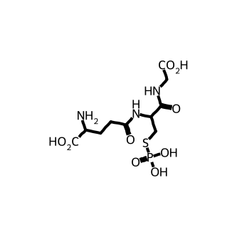 NC(CCC(=O)NC(CSP(=O)(O)O)C(=O)NCC(=O)O)C(=O)O